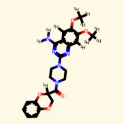 [2H]c1c(OC([2H])([2H])[2H])c(OC([2H])([2H])[2H])c([2H])c2c(N([2H])[2H])nc(N3CCN(C(=O)C4([2H])COc5ccccc5O4)CC3)nc12